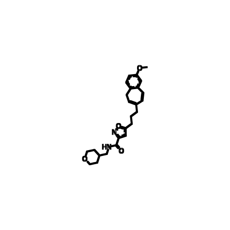 COc1ccc2c(c1)C=CC(CCCc1cc(C(=O)NCC3CCOCC3)no1)=CC2